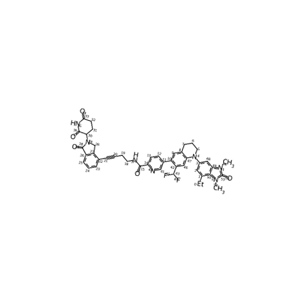 CCc1cc(N2CCCc3cc(-c4ccc(C(=O)NCCC#Cc5cccc6c5CN(C5CCC(=O)NC5=O)C6=O)nc4)c(C(F)F)cc32)cc2c1n(C)c(=O)n2C